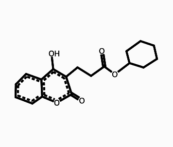 O=C(CCc1c(O)c2ccccc2oc1=O)OC1CCCCC1